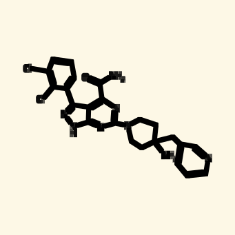 NC(=O)c1nc(N2CCC(N)(Cc3cccnc3)CC2)nc2[nH]nc(-c3cccc(Cl)c3Cl)c12